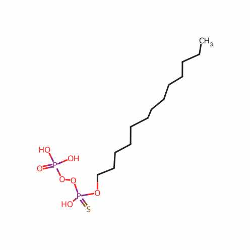 CCCCCCCCCCCCCOP(O)(=S)OOP(=O)(O)O